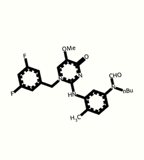 CCCCN(C=O)c1ccc(C)c(Nc2nc(=O)c(OC)cn2Cc2cc(F)cc(F)c2)c1